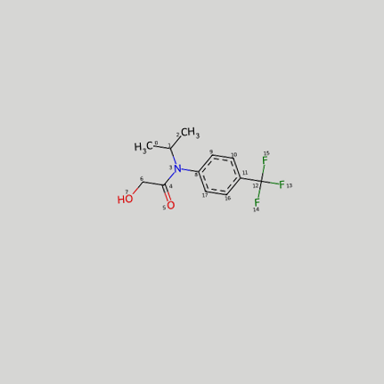 CC(C)N(C(=O)CO)c1ccc(C(F)(F)F)cc1